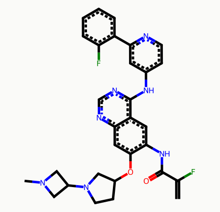 C=C(F)C(=O)Nc1cc2c(Nc3ccnc(-c4ccccc4F)c3)ncnc2cc1OC1CCN(C2CN(C)C2)C1